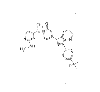 CNc1nccc([C@H](C)n2ccc(-c3nn(-c4ccc(C(F)(F)F)cc4)c4ncccc34)cc2=O)n1